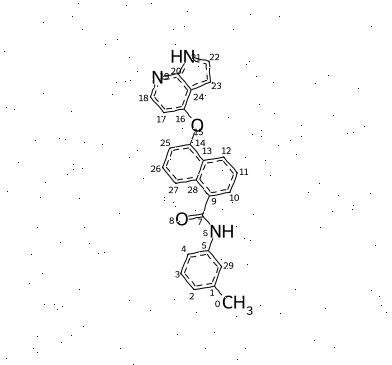 Cc1cccc(NC(=O)c2cccc3c(Oc4ccnc5[nH]ccc45)cccc23)c1